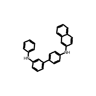 c1ccc(Nc2cccc(-c3ccc(Nc4ccc5ccccc5c4)cc3)c2)cc1